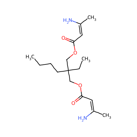 CCCCC(CC)(COC(=O)/C=C(/C)N)COC(=O)/C=C(/C)N